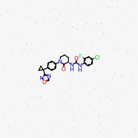 O=C(Nc1ccc(Cl)cc1F)N[C@@H]1CCCN(c2ccc(C3(c4ncon4)CC3)cc2)C1=O